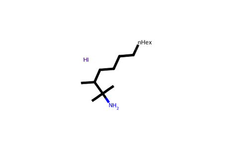 CCCCCCCCCCC(C)C(C)(C)N.I